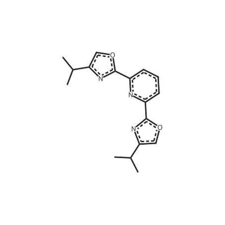 CC(C)c1coc(-c2cccc(-c3nc(C(C)C)co3)n2)n1